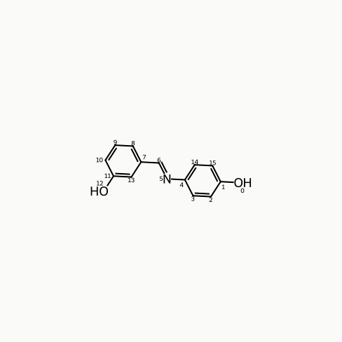 Oc1ccc(N=Cc2cccc(O)c2)cc1